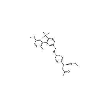 CCC#C[C@@H](CC(C)=O)c1ccc(OCc2ccc(C(C)(C)C)c(-c3cc(OC)ccc3F)c2)cc1